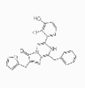 O=c1c(Cc2ccco2)nc2c(Cc3ccccc3)[nH]c(-c3cccc(O)c3Cl)cn1-2